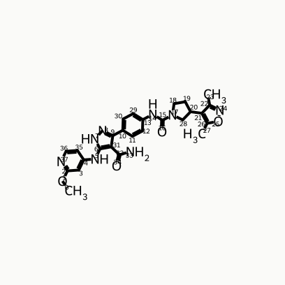 COc1cc(Nc2[nH]nc(-c3ccc(NC(=O)N4CCC(c5c(C)noc5C)C4)cc3)c2C(N)=O)ccn1